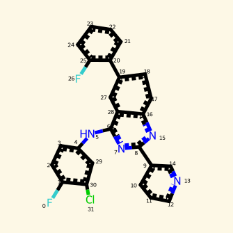 Fc1ccc(Nc2nc(-c3cccnc3)nc3ccc(-c4ccccc4F)cc23)cc1Cl